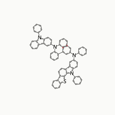 c1ccc(N(c2cccc(-c3ccccc3N(c3ccccc3)c3ccc4c(c3)c3ccccc3n4-c3ccccc3)c2)c2ccc3c(c2)c2ccc4c5ccccc5sc4c2n3-c2ccccc2)cc1